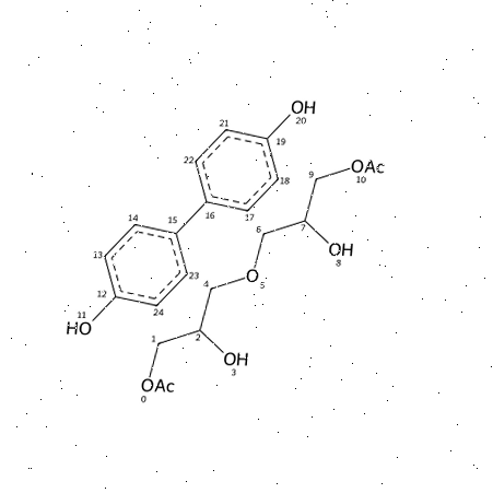 CC(=O)OCC(O)COCC(O)COC(C)=O.Oc1ccc(-c2ccc(O)cc2)cc1